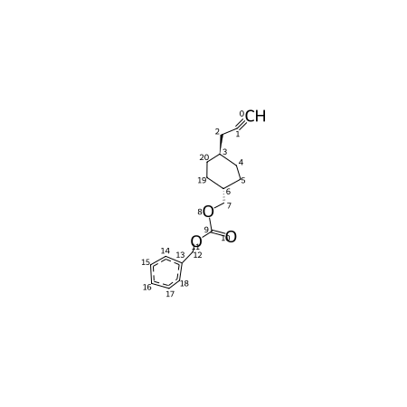 C#CC[C@H]1CC[C@H](COC(=O)OCc2ccccc2)CC1